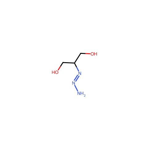 NN=NC(CO)CO